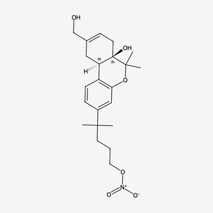 CC(C)(CCCO[N+](=O)[O-])c1ccc2c(c1)OC(C)(C)[C@@]1(O)CC=C(CO)C[C@H]21